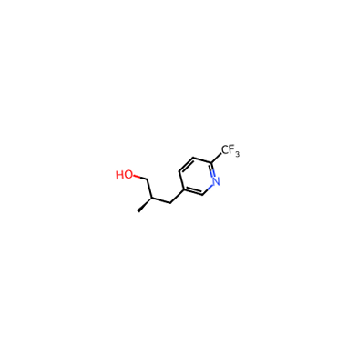 C[C@@H](CO)Cc1ccc(C(F)(F)F)nc1